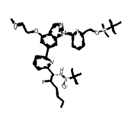 CCCCC(F)[C@@H](N[S@+]([O-])C(C)(C)C)c1cccc(-c2cc(OCCOC)c3cnn(-c4cccc(CO[Si](C)(C)C(C)(C)C)n4)c3c2)n1